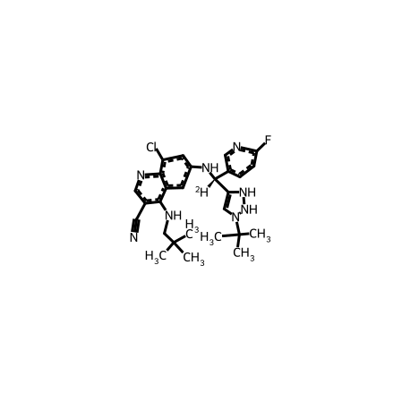 [2H][C@](Nc1cc(Cl)c2ncc(C#N)c(NCC(C)(C)C)c2c1)(C1=CN(C(C)(C)C)NN1)c1ccc(F)nc1